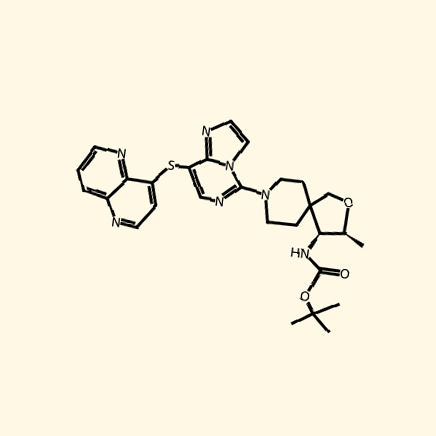 C[C@@H]1OCC2(CCN(c3ncc(Sc4ccnc5cccnc45)c4nccn34)CC2)[C@@H]1NC(=O)OC(C)(C)C